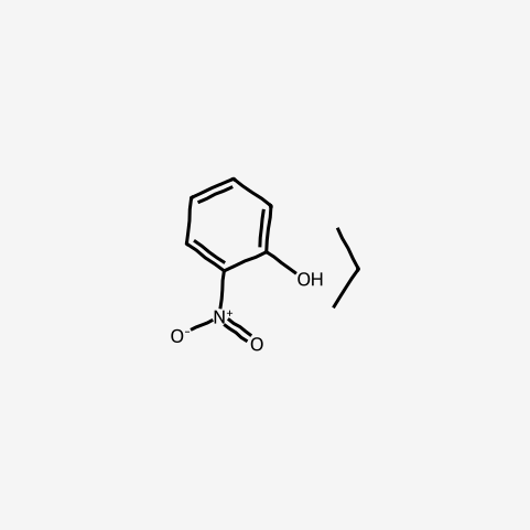 CCC.O=[N+]([O-])c1ccccc1O